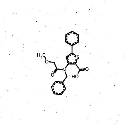 COCC(=O)N(Cc1ccccc1)c1cc(-c2ccccc2)sc1C(=O)O